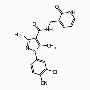 Cc1nn(-c2ccc(C#N)c(Cl)c2)c(C)c1C(=O)NCc1ccc[nH]c1=O